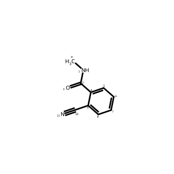 CNC(=O)c1ccccc1C#N